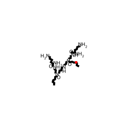 CC/C=C\CCC(=O)N(CCCCNCCCN(CCCNC(=O)[C@H](N)CCCCN)C(=O)CC/C=C\CC)CCCNC(=O)[C@H](N)CCCCN